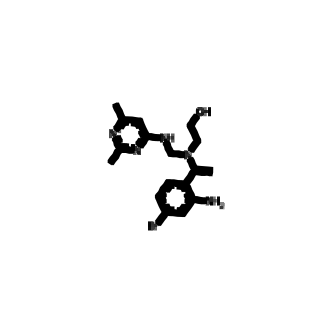 C=C(c1ccc(Br)cc1N)N(CCO)CNc1cc(C)nc(C)n1